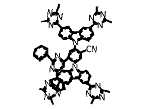 Cc1nc(C)nc(-c2ccc3c(c2)c2cc(-c4nc(C)nc(C)n4)ccc2n3-c2cc(-c3cc(-c4ccccc4)nc(-c4ccccc4)n3)c(-n3c4ccc(-c5nc(C)nc(C)n5)cc4c4cc(-c5nc(C)nc(C)n5)ccc43)cc2C#N)n1